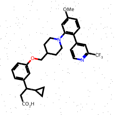 COc1ccc(-c2ccnc(C(F)(F)F)c2)c(N2CCC(COc3cccc(C(CC(=O)O)C4CC4)c3)CC2)c1